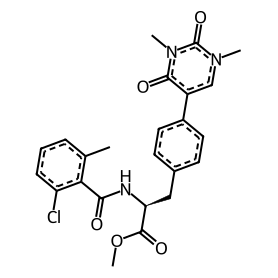 COC(=O)[C@H](Cc1ccc(-c2cn(C)c(=O)n(C)c2=O)cc1)NC(=O)c1c(C)cccc1Cl